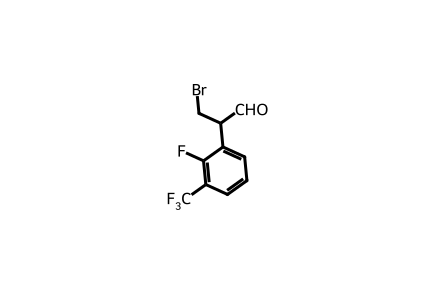 O=CC(CBr)c1cccc(C(F)(F)F)c1F